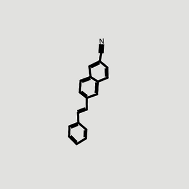 N#Cc1ccc2cc(C=Cc3ccccc3)ccc2c1